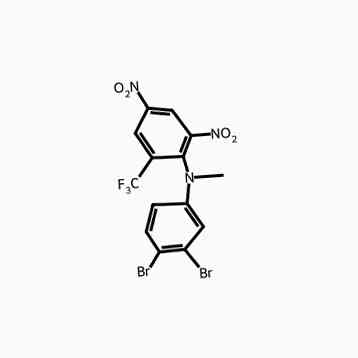 CN(c1ccc(Br)c(Br)c1)c1c([N+](=O)[O-])cc([N+](=O)[O-])cc1C(F)(F)F